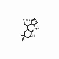 COCC(c1cncs1)N1CC(F)(F)CNC1=C=O